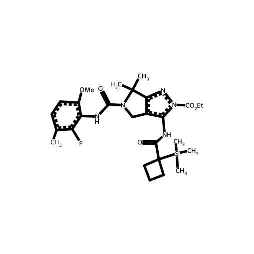 CCOC(=O)n1nc2c(c1NC(=O)C1([Si](C)(C)C)CCC1)CN(C(=O)Nc1c(OC)ccc(C)c1F)C2(C)C